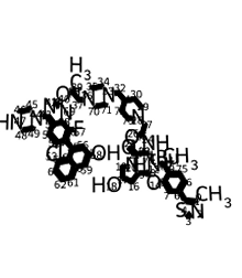 Cc1ncsc1-c1ccc([C@H](C)NC(=O)C2CC(O)CN2C(=O)[C@@H](NC(=O)CN2CCC(CN3CCN(C[C@@H](C)Oc4nc(N5CCNCC5)c5cc(Cl)c(-c6cc(O)cc7ccccc67)c(F)c5n4)CC3)CC2)C(C)(C)C)cc1